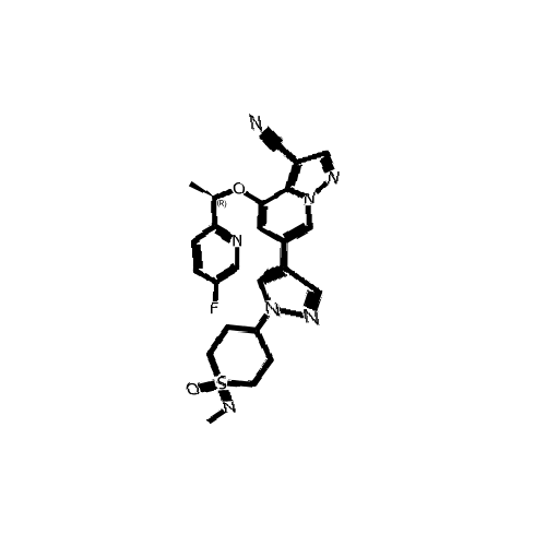 CN=S1(=O)CCC(n2cc(-c3cc(O[C@H](C)c4ccc(F)cn4)c4c(C#N)cnn4c3)cn2)CC1